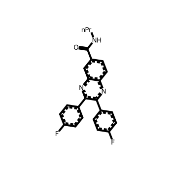 CCCNC(=O)c1ccc2nc(-c3ccc(F)cc3)c(-c3ccc(F)cc3)nc2c1